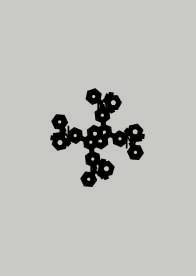 CC1(C)CCCC2(C)c3cc(-c4cc(-c5ccc6c(c5)C5(C)CCCC(C)(C)C5(C)N6c5ccccc5)c5ccc6c(-c7ccc8c(c7)C7(C)CCCC(C)(C)C7(C)N8c7ccccc7)cc(-c7ccc8c(c7)C7(C)CCCC(C)(C)C7(C)N8c7ccccc7)c7ccc4c5c76)ccc3N(c3ccccc3)C12C